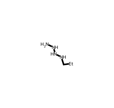 CCCNNNN